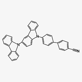 N#Cc1ccc(-c2ccc(-n3c4ccccc4c4cc(-n5c6ccccc6c6ccccc65)ccc43)cc2)cc1